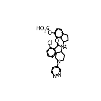 C[N+](C(=O)c1ccccc1Cl)(C1CCN(c2ccnnc2)CC1)C1CCc2ccc(OC(=O)O)cc21